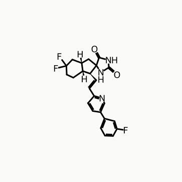 O=C1NC(=O)C2(C[C@H]3CC(F)(F)CC[C@H]3[C@@H]2/C=C/c2ccc(-c3cccc(F)c3)cn2)N1